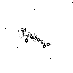 Cc1cc(S(=O)(=O)NC(=O)c2ccc(N3CCN(Cc4ccccc4-c4ccc(Cl)cc4)CC3)cc2)ccc1N[C@H](CCN(C)CCC(=O)NO)CSc1ccccc1